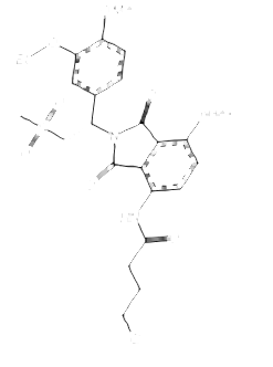 CCCCCCc1ccc(NC(=O)CCCCl)c2c1C(=O)N([C@H](CS(C)(=O)=O)c1ccc(OC)c(OCC)c1)C2=O